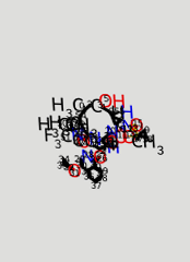 C[C@@H]1CCC(O)C[C@@H]2C[C@@]2(C(=O)NS(=O)(=O)C2(C)CC2)NC(=O)[C@@H]2C[C@@H](Oc3ncc(OC4CC4)c4ccccc34)CN2C(=O)[C@@H](N(C(=O)O)C(C)(C)C(F)(F)F)[C@H](C)C1